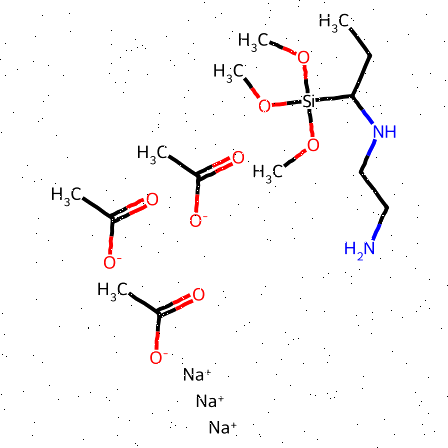 CC(=O)[O-].CC(=O)[O-].CC(=O)[O-].CCC(NCCN)[Si](OC)(OC)OC.[Na+].[Na+].[Na+]